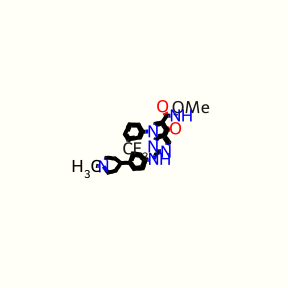 CONC(=O)c1cn(-c2cccc(C(F)(F)F)c2)c2nc(Nc3ccc(C4CCN(C)CC4)cc3)ncc2c1=O